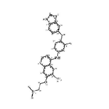 Cc1cc(Nc2ncnc3cc(OCCN(C)C)c(N)cc23)ccc1Cc1ccn2ncnc2c1